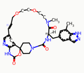 Cc1cc(C[C@H]2NC(=O)N3CCC4(CC3)OC(=O)Nc3ncc(cc34)/C=C/COCCOCCN(C)C2=O)cc2cn[nH]c12